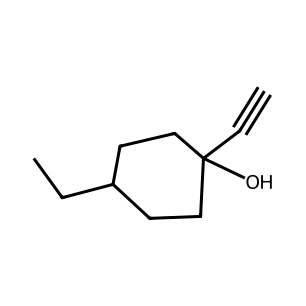 C#CC1(O)CCC(CC)CC1